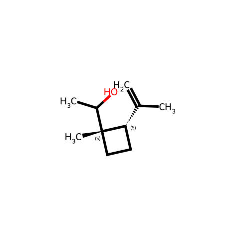 C=C(C)[C@@H]1CC[C@]1(C)C(C)O